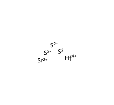 [Hf+4].[S-2].[S-2].[S-2].[Sr+2]